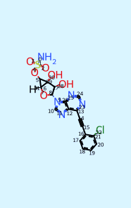 NS(=O)(=O)OC1[C@H]2O[C@@H](n3cnc4c(C#Cc5ccccc5Cl)ncnc43)[C@H](O)[C@@]12O